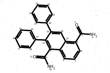 NC(=O)c1cccc2c(C(N)=O)c(-c3ccccc3)c(-c3ccccc3)cc12